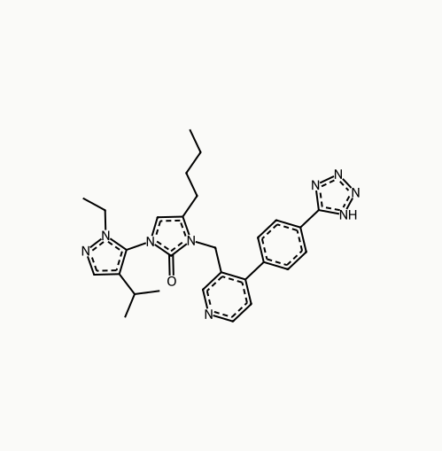 CCCCc1cn(-c2c(C(C)C)cnn2CC)c(=O)n1Cc1cnccc1-c1ccc(-c2nnn[nH]2)cc1